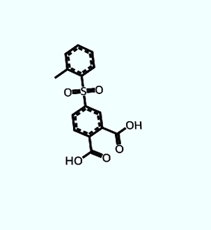 Cc1ccccc1S(=O)(=O)c1ccc(C(=O)O)c(C(=O)O)c1